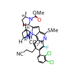 COC(=O)N1[C@H](C)CC[C@@H]1c1cc2c(SC)nc3c(F)c(-c4cccc(Cl)c4Cl)c(CCC#N)cc3c2n1[C@H]1[C@@H]2C[C@H]1N(C(=O)O)C2